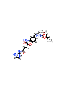 CC(C)(OC(=O)N[C@@H](Cc1ccc2c(c1)NC(=O)[C@@H](CCC(=O)Nc1ncc[nH]1)O2)C(=O)O)C(Cl)(Cl)Cl